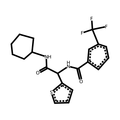 O=C(NC(C(=O)NC1CCCCC1)c1cccs1)c1cccc(C(F)(F)F)c1